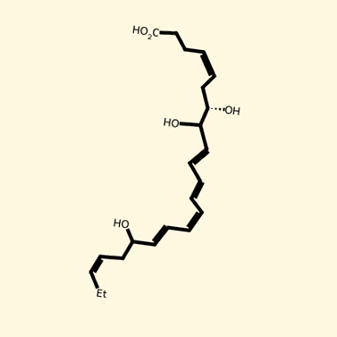 CC/C=C\CC(O)/C=C/C=C\C=C\C=C\C(O)[C@@H](O)C/C=C\CCC(=O)O